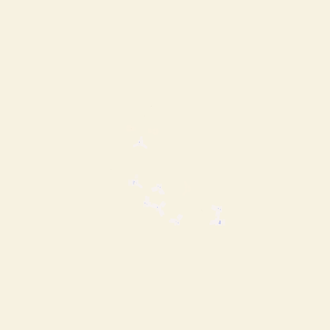 CC(C)Oc1c(-c2cn[nH]c2)ncn2nc(N[C@H]3CCN(S(=O)(=O)C4CC4)C[C@H]3C)nc12